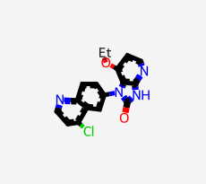 CCOc1ccnc2[nH]c(=O)n(-c3ccc4nccc(Cl)c4c3)c12